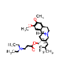 CCN(CC)CCC(=O)OC[C@@H]1C[C@@H]2c3cc(OC)c(OC)cc3CCN2C[C@H]1CC(C)C